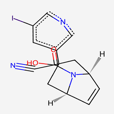 N#CC1(c2cncc(I)c2)C[C@H]2C=C[C@@H](C1)N2C(=O)O